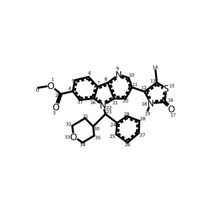 COC(=O)c1ccc2c3ncc(-c4c(C)sc(=O)n4C)cc3n(C(c3ccccc3)C3CCOCC3)c2c1